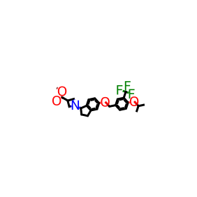 COC(=O)C1CN(C2CCc3cc(OCc4ccc(OC(C)C)c(C(F)(F)F)c4)ccc32)C1